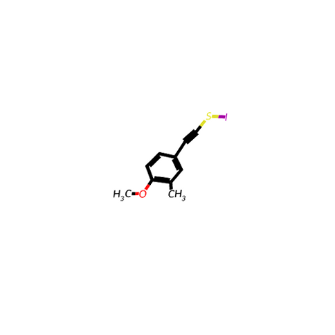 COc1ccc(C#CSI)cc1C